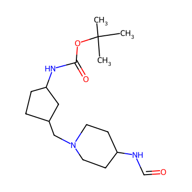 CC(C)(C)OC(=O)NC1CCC(CN2CCC(NC=O)CC2)C1